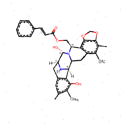 CCN1[C@@H]2c3c(cc(C)c(OC)c3O)C[C@H]1[C@H](O)N1C2Cc2c(OC(C)=O)c(C)c3c(c2[C@@H]1COC(=O)/C=C/c1ccccc1)OCO3